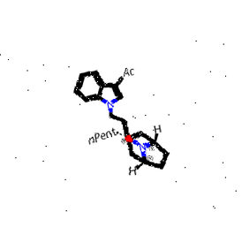 CCCCC[C@H]1C[C@H]2CC[C@@H](C1)N2CCCn1cc(C(C)=O)c2ccccc21